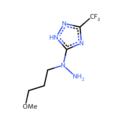 COCCCN(N)c1nc(C(F)(F)F)n[nH]1